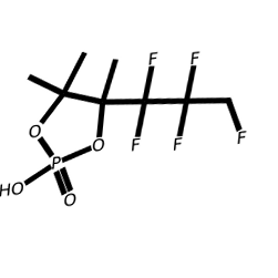 CC1(C)OP(=O)(O)OC1(C)C(F)(F)C(F)(F)CF